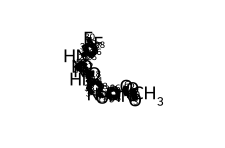 CS(=O)(=O)NC(=O)[C@H]1CC[C@@H](Oc2ccc(NC(=O)c3nnc(Nc4ccc(F)c(F)c4)o3)cn2)CC1